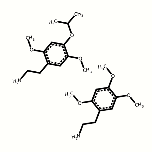 COc1cc(OC(C)C)c(OC)cc1CCN.COc1cc(OC)c(OC)cc1CCN